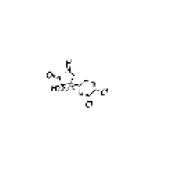 O=C1NC[C@]2(C3C=C(Cl)C(Cl)=CC3)C[C@H]12